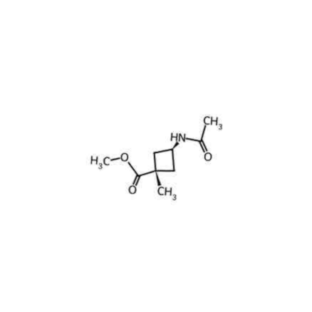 COC(=O)[C@]1(C)C[C@@H](NC(C)=O)C1